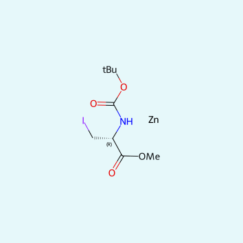 COC(=O)[C@H](CI)NC(=O)OC(C)(C)C.[Zn]